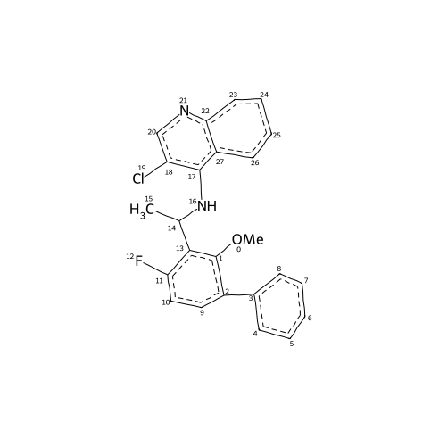 COc1c(-c2ccccc2)ccc(F)c1C(C)Nc1c(Cl)cnc2ccccc12